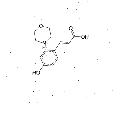 C1COCCN1.O=C(O)C=Cc1ccc(O)cc1